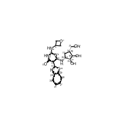 O=c1[nH]c(NC2COC2)nc(N[C@@H]2C[C@H](CO)[C@@H](O)[C@H]2O)c1-c1nc2ccccc2s1